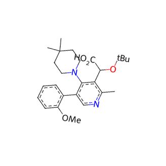 COc1ccccc1-c1cnc(C)c(C(OC(C)(C)C)C(=O)O)c1N1CCC(C)(C)CC1